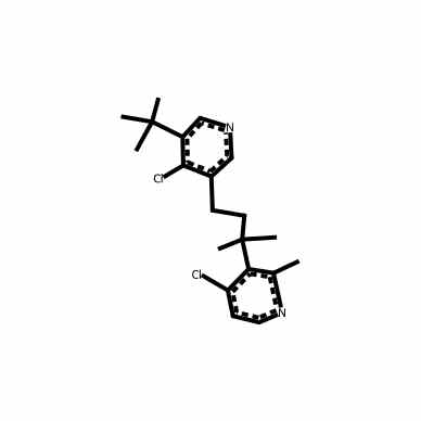 Cc1nccc(Cl)c1C(C)(C)CCc1cncc(C(C)(C)C)c1Cl